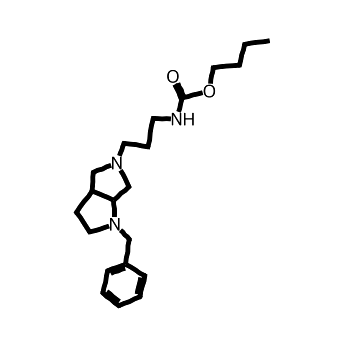 CCCCOC(=O)NCCCN1CC2CCN(Cc3ccccc3)C2C1